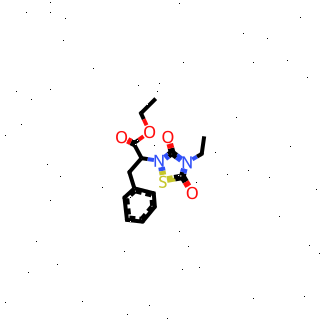 CCOC(=O)C(Cc1ccccc1)n1sc(=O)n(CC)c1=O